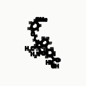 COc1ccc(OCCn2c(C)c(C(N)=O)c3c(-c4ccc(C(=O)NO)nc4)cccc32)cc1